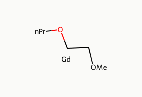 CCCOCCOC.[Gd]